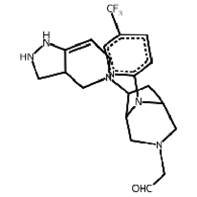 O=CCN1CC2CC(N3CC=C4NNCC4C3)C(C1)N2c1ccc(C(F)(F)F)cn1